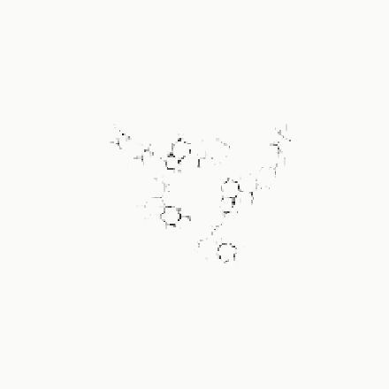 CN1CCN(C(=O)c2cccc3[nH]c(CN(C)C4CCCc5cccnc54)nc23)CC1.Cc1ccc2c(n1)C(NCc1nc3c(C(=O)N4CCNCC4)cccc3[nH]1)CCC2.O=C(O)C(F)(F)F.O=C(O)C(F)(F)F.O=C(O)C(F)(F)F